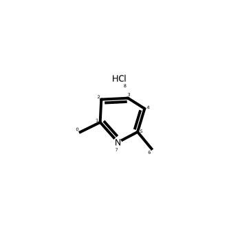 Cc1cccc(C)n1.Cl